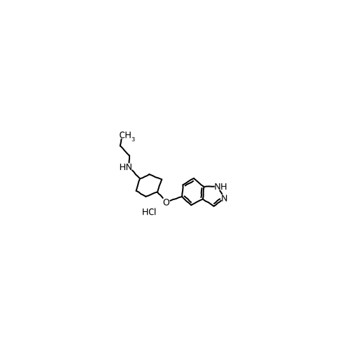 CCCNC1CCC(Oc2ccc3[nH]ncc3c2)CC1.Cl